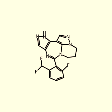 Fc1cccc(C(F)F)c1C1=Nc2cn[nH]c2-c2cnn3c2N1CCC3